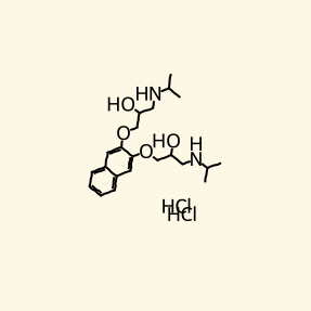 CC(C)NCC(O)COc1cc2ccccc2cc1OCC(O)CNC(C)C.Cl.Cl